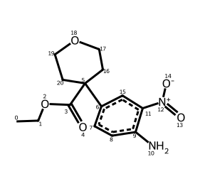 CCOC(=O)C1(c2ccc(N)c([N+](=O)[O-])c2)CCOCC1